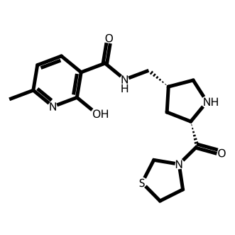 Cc1ccc(C(=O)NC[C@@H]2CN[C@H](C(=O)N3CCSC3)C2)c(O)n1